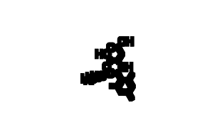 Cc1cc(C)c(C(=O)NC(CC(=O)O)C(=O)O)c(C)c1.[Al+3].[OH-].[OH-].[OH-]